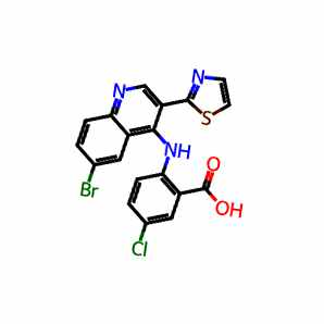 O=C(O)c1cc(Cl)ccc1Nc1c(-c2nccs2)cnc2ccc(Br)cc12